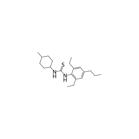 CCCc1cc(CC)c(NC(=S)NC2CCC(C)CC2)c(CC)c1